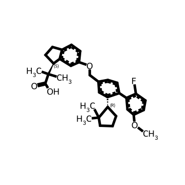 COc1ccc(F)c(-c2ccc(COc3ccc4c(c3)[C@@H](C(C)(C)C(=O)O)CC4)cc2[C@@H]2CCCC2(C)C)c1